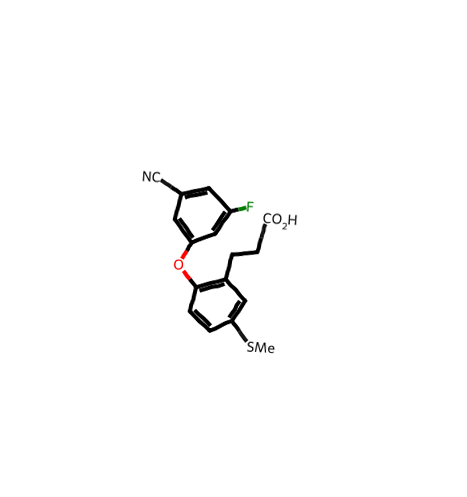 CSc1ccc(Oc2cc(F)cc(C#N)c2)c(CCC(=O)O)c1